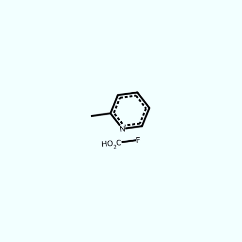 Cc1ccccn1.O=C(O)F